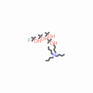 CC(C)(C)O.CC(C)(C)O.CC(C)(C)O.CC(C)(C)O.CCCC[N+](CCCC)(CCCC)CCCC.[F-]